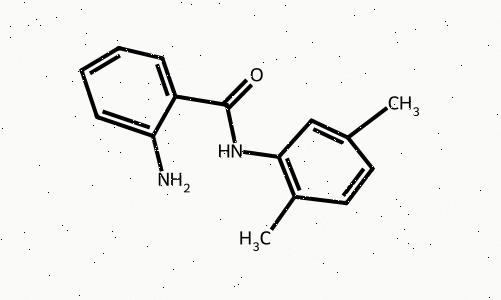 Cc1ccc(C)c(NC(=O)c2ccccc2N)c1